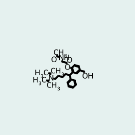 CC(=O)NCC(=O)Oc1ccc(CO)cc1C(CCCCN(C(C)C)C(C)C)c1ccccc1